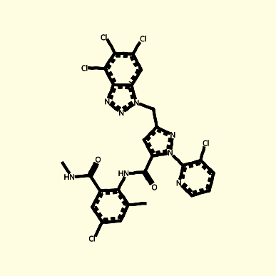 CNC(=O)c1cc(Cl)cc(C)c1NC(=O)c1cc(Cn2nnc3c(Cl)c(Cl)c(Cl)cc32)nn1-c1ncccc1Cl